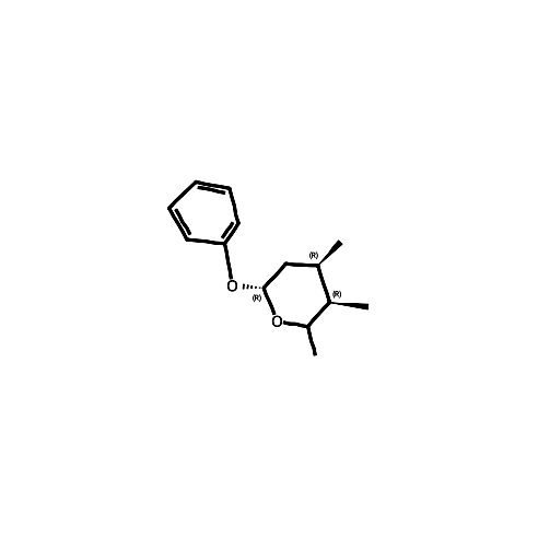 CC1O[C@H](Oc2ccccc2)C[C@@H](C)[C@H]1C